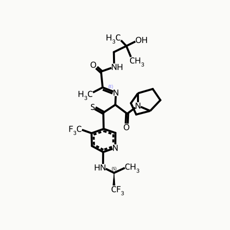 C/C(=N\C(C(=O)N1C2CCC1CC2)C(=S)c1cnc(N[C@@H](C)C(F)(F)F)cc1C(F)(F)F)C(=O)NCC(C)(C)O